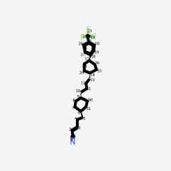 N#CC=CCC[C@H]1CC[C@H](CCCC[C@H]2CC[C@H](c3ccc(C(F)(F)F)cc3)CC2)CC1